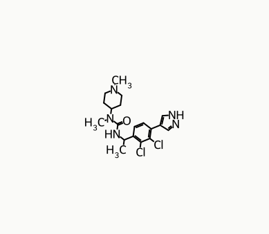 CC(NC(=O)N(C)C1CCN(C)CC1)c1ccc(-c2cn[nH]c2)c(Cl)c1Cl